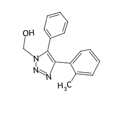 Cc1ccccc1-c1nnn(CO)c1-c1ccccc1